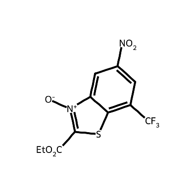 CCOC(=O)c1sc2c(C(F)(F)F)cc([N+](=O)[O-])cc2[n+]1[O-]